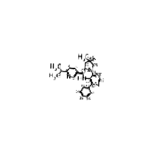 CC(C)c1ccc(C(=O)Nc2c(-c3ccccc3)ncnc2N2CCC(C)(F)C2)cn1